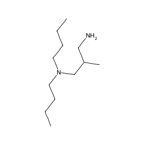 CCCCN(CCCC)CC(C)CN